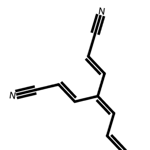 C=CC=C(C=CC#N)C=CC#N